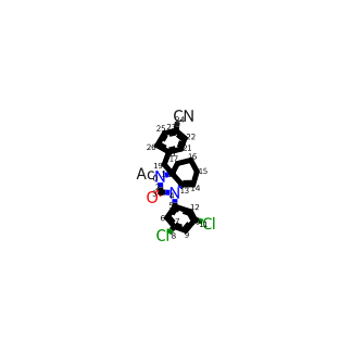 CC(=O)N1C(=O)N(c2cc(Cl)cc(Cl)c2)C2=CCCCC21Cc1ccc(C#N)cc1